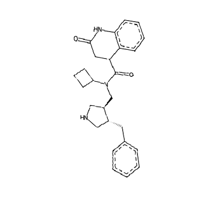 O=C1CC(C(=O)N(C[C@@H]2CNC[C@H]2Cc2ccccc2)C2CCC2)c2ccccc2N1